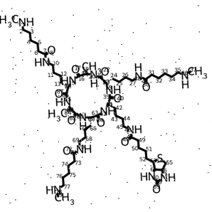 CNCCCCCC(=O)NCCCC[C@@H]1NC(=O)[C@@H](C)NC(=O)[C@H](CCCCNC(=O)CCCCCNC)NC(=O)[C@@H](CCCCNC(=O)CCCCC2SCC3NC(=O)NC32)NC(=O)[C@H](CCCCNC(=O)CCCCCNC)NC(=O)[C@@H](C)NC1=O